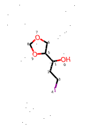 OC(CCI)C1COCO1